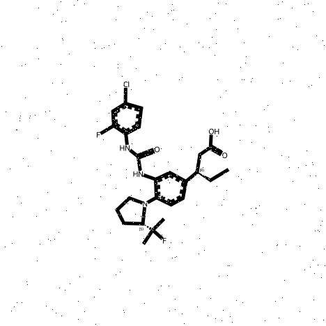 CC[C@H](CC(=O)O)c1ccc(N2CCC[C@H]2C(C)(C)F)c(NC(=O)Nc2ccc(Cl)cc2F)c1